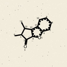 CC1C(=O)c2oc3ccccc3c2C1C